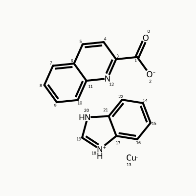 O=C([O-])c1ccc2ccccc2n1.[Cu].c1ccc2[nH+]c[nH]c2c1